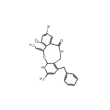 C/C=C1/OC2NC(C)=CC(Cc3ccccc3)=C2CNC(=O)c2cc(Br)cc(C)c21